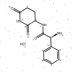 Cl.N[C@H](C(=O)NC1CCC(=O)NC1=O)c1ccccc1